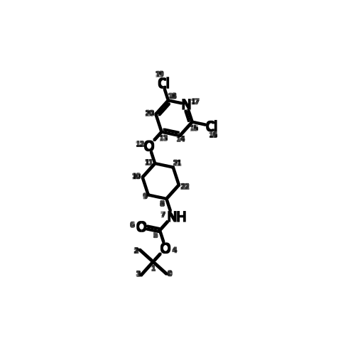 CC(C)(C)OC(=O)NC1CCC(Oc2cc(Cl)nc(Cl)c2)CC1